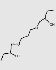 CCC(O)COCCCOCC(O)CC